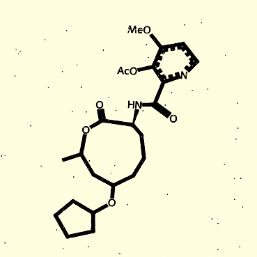 COc1ccnc(C(=O)N[C@H]2CCCC(OC3CCCC3)CC(C)OC2=O)c1OC(C)=O